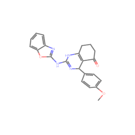 COc1ccc(C2N=C(Nc3nc4ccccc4o3)NC3=C2C(=O)CCC3)cc1